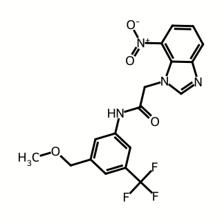 COCc1cc(NC(=O)Cn2cnc3cccc([N+](=O)[O-])c32)cc(C(F)(F)F)c1